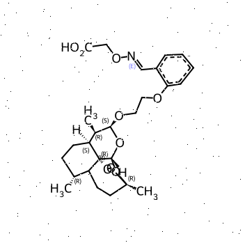 C[C@H]1[C@@H](OCCOc2ccccc2/C=N/OCC(=O)O)O[C@@H]2O[C@@]3(C)CCC4[C@H](C)CC[C@@H]1[C@]42OO3